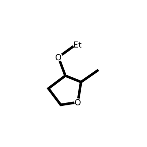 CCOC1CCOC1C